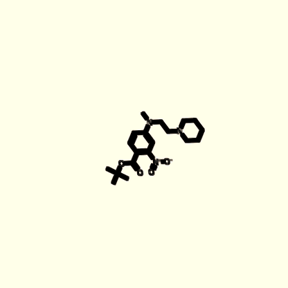 CN(CCN1CCCCC1)c1ccc(C(=O)OC(C)(C)C)c([N+](=O)[O-])c1